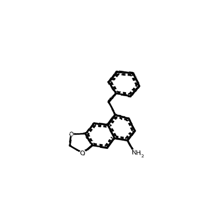 Nc1ccc(Cc2ccccc2)c2cc3c(cc12)OCO3